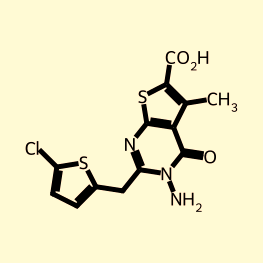 Cc1c(C(=O)O)sc2nc(Cc3ccc(Cl)s3)n(N)c(=O)c12